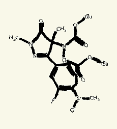 CN1N=C(c2ccc([S+](C)[O-])c(F)c2)C(C)(N(OC(=O)OC(C)(C)C)C(=O)OC(C)(C)C)C1=O